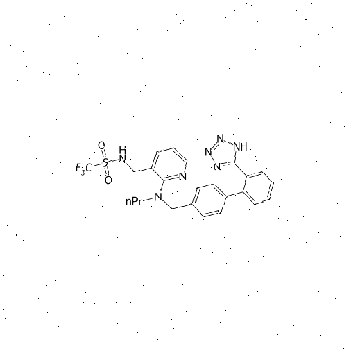 CCCN(Cc1ccc(-c2ccccc2-c2nnn[nH]2)cc1)c1ncccc1CNS(=O)(=O)C(F)(F)F